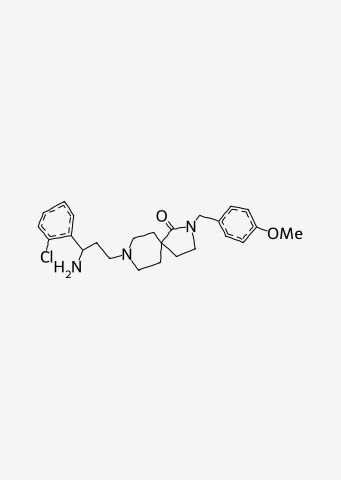 COc1ccc(CN2CCC3(CCN(CCC(N)c4ccccc4Cl)CC3)C2=O)cc1